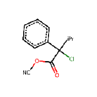 CC(C)C(Cl)(C(=O)OC#N)c1ccccc1